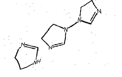 C1=NCCN1.C1=NCCN1N1C=NCC1